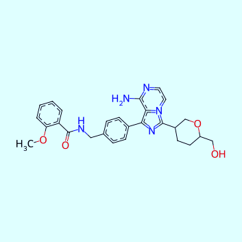 COc1ccccc1C(=O)NCc1ccc(-c2nc(C3CCC(CO)OC3)n3ccnc(N)c23)cc1